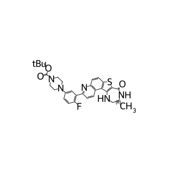 C[C@@H]1CNc2c(sc3ccc4nc(-c5cc(N6CCN(C(=O)OC(C)(C)C)CC6)ccc5F)ccc4c23)C(=O)N1